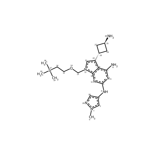 Cn1cc(Nc2nc(N)c3c(n2)n(COCC[Si](C)(C)C)cc3[C@H]2C[C@H](N)C2)cn1